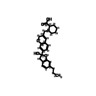 CCCc1ccc2c(c1)OC(O)(c1ccc3c(c1)OCC(CN1CCCCC1C(=O)O)=C3)C2